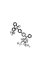 CCC(NC(=O)C(c1ccccc1)C1CCN(c2ccc(NC(=O)c3ccccc3-c3ccc(C(F)(F)F)cc3)cc2)CC1)C(=O)OC